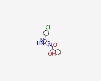 O=C(C(CO)c1ccccc1)N1Cc2[nH]nc(-c3ccc(Cl)cc3)c2C1